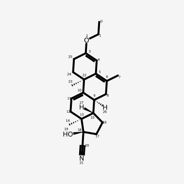 CCOC1=CC2=C(C)C[C@@H]3C(=CC[C@@]4(C)[C@H]3CC[C@]4(O)C#N)[C@@]2(C)CC1